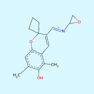 Cc1cc2c(c(C)c1O)C=C(/C=N/C1CO1)C1(CCC1)O2